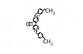 C=Cc1ccc(C[n+]2ccc(-c3cc[n+](Cc4ccc(C=C)cc4)cc3)cc2)cc1.[Cl-].[Cl-]